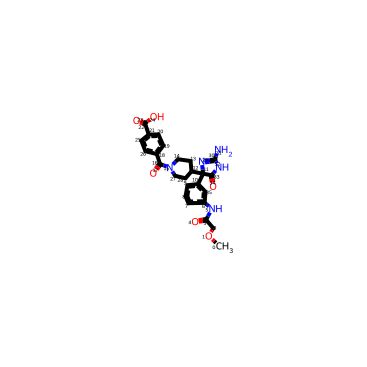 COCC(=O)Nc1cccc(C2(C3CCN(C(=O)c4ccc(C(=O)O)cc4)CC3)N=C(N)NC2=O)c1